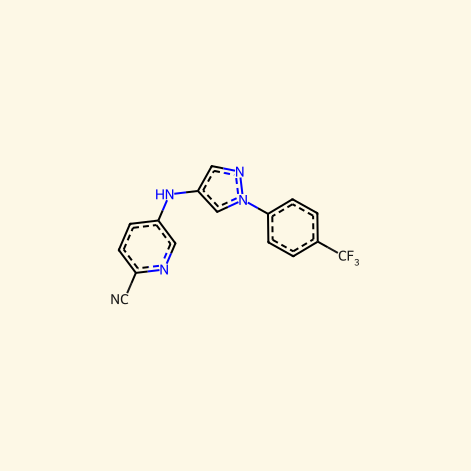 N#Cc1ccc(Nc2cnn(-c3ccc(C(F)(F)F)cc3)c2)cn1